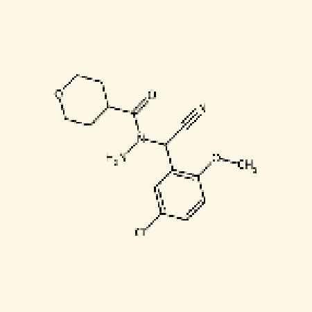 COc1ccc(Cl)cc1C(C#N)N(N)C(=O)C1CCOCC1